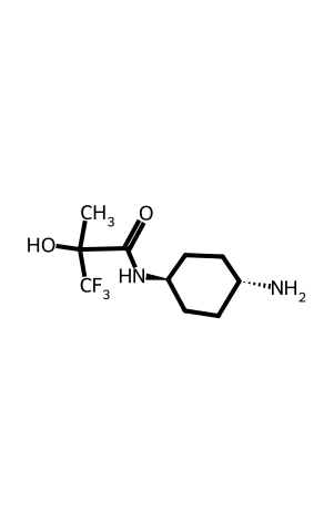 CC(O)(C(=O)N[C@H]1CC[C@H](N)CC1)C(F)(F)F